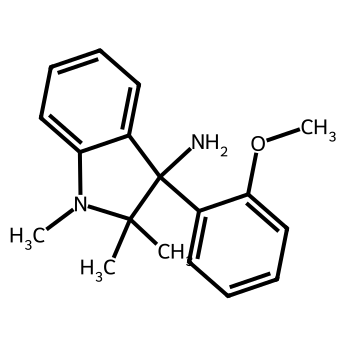 COc1ccccc1C1(N)c2ccccc2N(C)C1(C)C